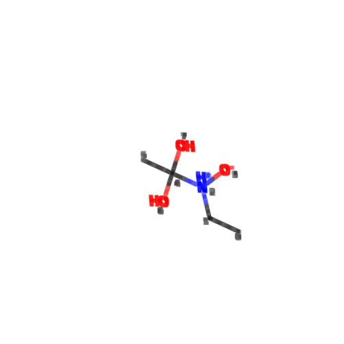 CC[NH+]([O-])C(C)(O)O